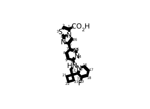 O=C(O)c1csc2nc(-c3ccc(NCC4(c5ncccc5F)CCC4)nn3)cn12